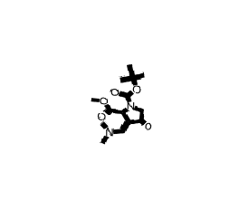 COC(=O)C1/C(=C\N(C)C)C(=O)CN1C(=O)OC(C)(C)C